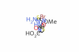 CO/N=C(\C(=O)N[C@@H]1C(=O)N2C(C(=O)O)=CCS[C@H]12)c1nc(N)sc1Br